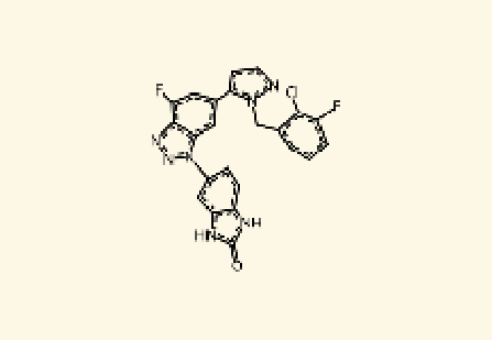 O=c1[nH]c2ccc(-n3nnc4c(F)cc(-c5ccnn5Cc5cccc(F)c5Cl)cc43)cc2[nH]1